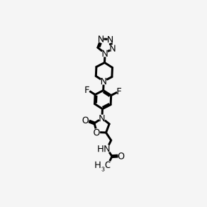 CC(=O)NCC1CN(c2cc(F)c(N3CCC(n4cnnn4)CC3)c(F)c2)C(=O)O1